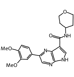 COc1ccc(-c2cnc3[nH]cc(C(=O)NC4CCOCC4)c3n2)cc1OC